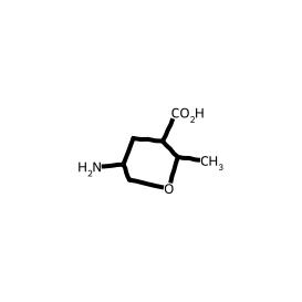 CC1OCC(N)CC1C(=O)O